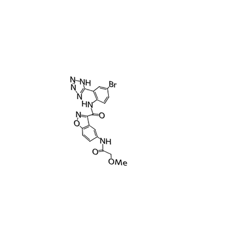 COCC(=O)Nc1ccc2onc(C(=O)Nc3ccc(Br)cc3-c3nnn[nH]3)c2c1